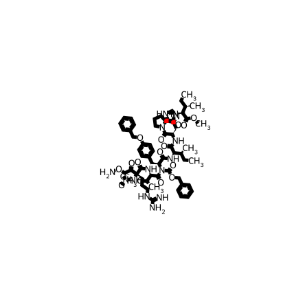 CC[C@H](C)[C@H](NC(=O)[C@H](Cc1ccc(OCc2ccccc2)cc1)N(C(=O)OCc1ccccc1)C(=O)[C@@H](NC(=O)[C@](CCCNC(=N)N)(N[N+](=O)[O-])C(=O)CON)C(C)C)C(=O)N[C@@H](Cc1c[nH]cn1)C(=O)N1CCC[C@H]1C(=O)N[C@H](C(=O)OC)[C@@H](C)CC